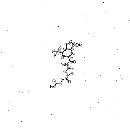 O=C(O)CCC(=O)N1CC[C@@H](NC(=O)c2cc3c(c(C(F)(F)F)c2)COB3O)C1